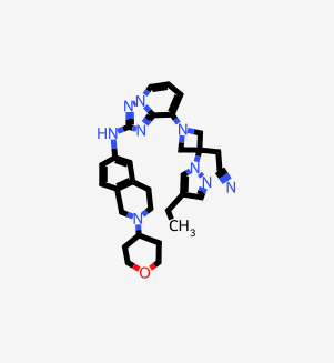 CCc1cnn(C2(CC#N)CN(c3cccn4nc(Nc5ccc6c(c5)CCN(C5CCOCC5)C6)nc34)C2)c1